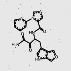 NC(=O)C(=O)C(Cc1c[nH]c2cocc12)NC(=O)c1cncn1-c1ccccn1